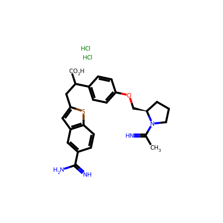 CC(=N)N1CCC[C@@H]1COc1ccc(C(Cc2cc3cc(C(=N)N)ccc3s2)C(=O)O)cc1.Cl.Cl